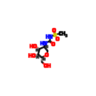 CS(=O)(=O)NC(=O)N[C@H]1CO[C@H](CO)[C@H](O)[C@@H]1O